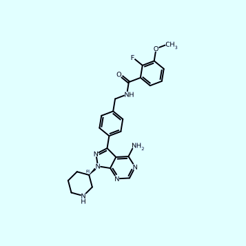 COc1cccc(C(=O)NCc2ccc(-c3nn([C@@H]4CCCNC4)c4ncnc(N)c34)cc2)c1F